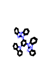 c1ccc2c(c1)nc1n(-c3cc(-n4c5ccccc5c5ccccc54)cc(-n4c5ccccc5n5c6ccccc6nc45)c3)c3ccccc3n21